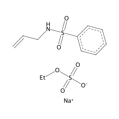 C=CCNS(=O)(=O)c1ccccc1.CCOS(=O)(=O)[O-].[Na+]